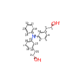 OCCc1cccc(N(c2ccccc2)c2cccc(CCO)c2)c1